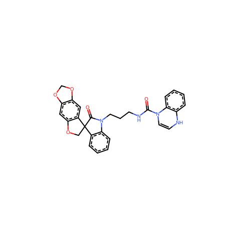 O=C(NCCCN1C(=O)C2(COc3cc4c(cc32)OCO4)c2ccccc21)N1C=CNc2ccccc21